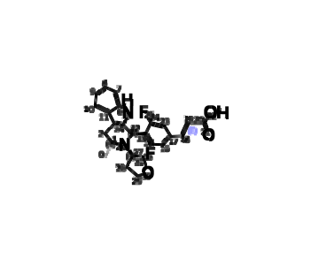 C[C@@H]1Cc2c([nH]c3ccccc23)[C@@H](c2c(F)cc(/C=C/C(=O)O)cc2F)N1[C@@H]1CCOC1